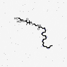 CC/C=C\C/C=C\C/C=C\C/C=C\C/C=C\C/C=C\CCC(=O)NCCSSC(C)(C)[C@@H](C)C(=O)NC[C@@H](O)CO